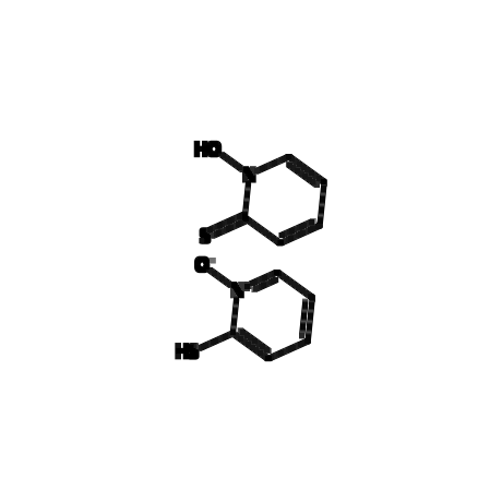 On1ccccc1=S.[O-][n+]1ccccc1S